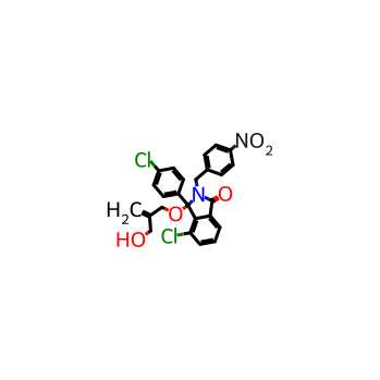 C=C(CO)COC1(c2ccc(Cl)cc2)c2c(Cl)cccc2C(=O)N1Cc1ccc([N+](=O)[O-])cc1